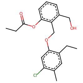 CCC(=O)Oc1cccc(CO)c1COc1cc(Cl)c(C)cc1CC